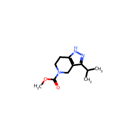 COC(=O)N1CCc2[nH]nc(C(C)C)c2C1